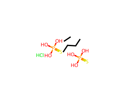 CC.CCCC.Cl.OP(O)(O)=S.OP(O)(O)=S